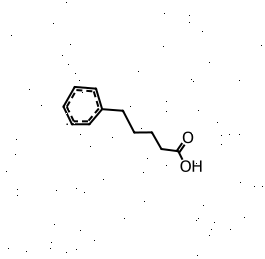 O=C(O)CCCCc1c[c]ccc1